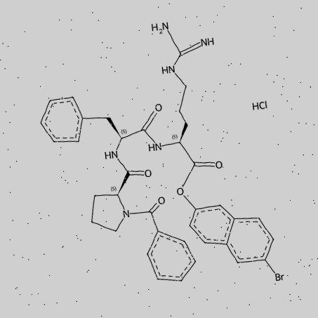 Cl.N=C(N)NCCC[C@H](NC(=O)[C@H](Cc1ccccc1)NC(=O)[C@@H]1CCCN1C(=O)c1ccccc1)C(=O)Oc1ccc2cc(Br)ccc2c1